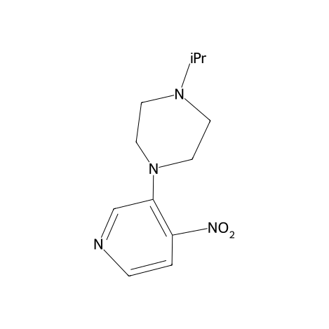 CC(C)N1CCN(c2cnccc2[N+](=O)[O-])CC1